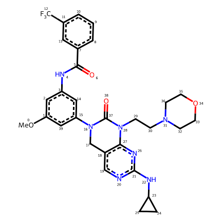 COc1cc(NC(=O)c2cccc(C(F)(F)F)c2)cc(N2Cc3cnc(NC4CC4)nc3N(CCN3CCOCC3)C2=O)c1